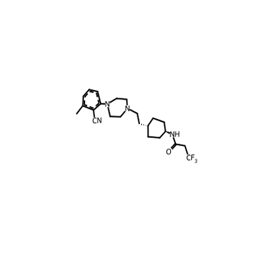 Cc1cccc(N2CCN(CC[C@H]3CC[C@H](NC(=O)CC(F)(F)F)CC3)CC2)c1C#N